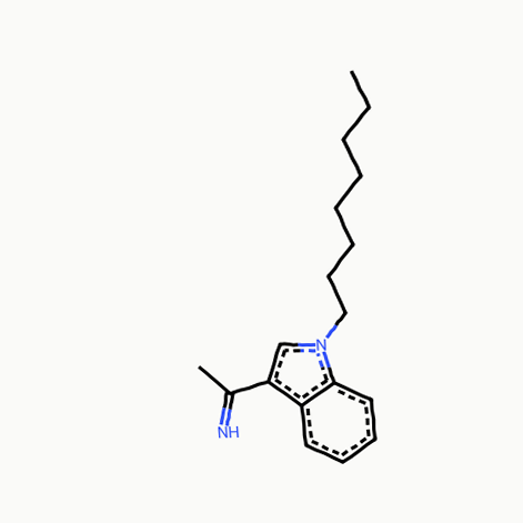 CCCCCCCCn1cc(C(C)=N)c2ccccc21